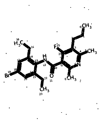 CCCc1c(C)nc(C)c(C(=O)Nc2c(CC)cc(Br)cc2CC)c1F